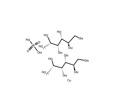 O=C(O)[C@H](O)[C@@H](O)[C@H](O)[C@H](O)CO.O=C(O)[C@H](O)[C@@H](O)[C@H](O)[C@H](O)CO.[Co].[O]=[W](=[O])([OH])[OH]